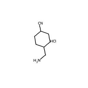 Cl.N#CC1CCC(CN)CC1